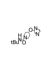 CC(C)(C)NC(=O)N1CCC(Oc2cnccn2)CC1